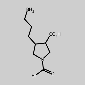 BCCCC1CN(C(=O)CC)CC1C(=O)O